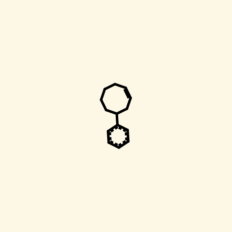 C1=CCC(c2ccccc2)CCCC1